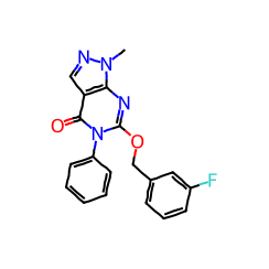 Cn1ncc2c(=O)n(-c3ccccc3)c(OCc3cccc(F)c3)nc21